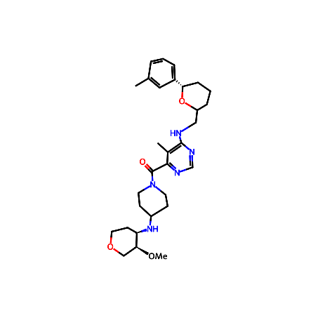 CO[C@H]1COCC[C@H]1NC1CCN(C(=O)c2ncnc(NCC3CCC[C@@H](c4cccc(C)c4)O3)c2C)CC1